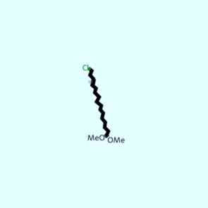 COC(CCCCCCCCCCC/C=C/CCCl)OC